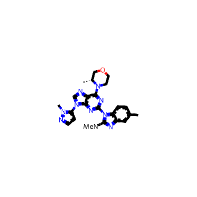 CNc1nc2cc(C)ccc2n1-c1nc(N2CCOC[C@H]2C)c2ncn(-c3ccnn3C)c2n1